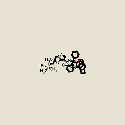 CC(C)(C)[Si](C)(C)OC[C@]1(C)Cn2ncc([S@](=O)(=NC(c3ccccc3)(c3ccccc3)c3ccccc3)NC(=O)Nc3c4c(cc5c3CC5)CC4)c2O1